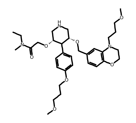 CCN(C)C(=O)CO[C@@H]1CNC[C@H](OCc2ccc3c(c2)N(CCCOC)CCO3)C1c1ccc(OCCCOC)cc1